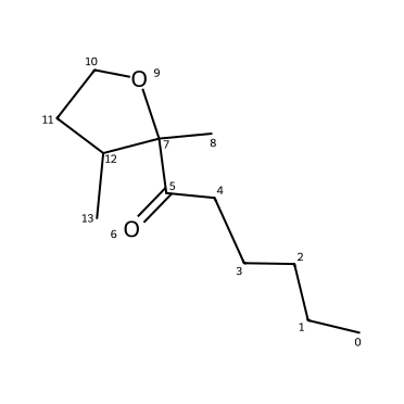 CCCCCC(=O)C1(C)OCCC1C